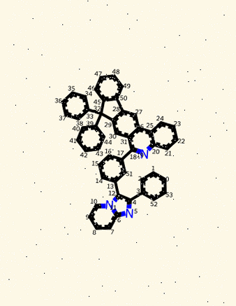 c1ccc(-c2nc3ccccn3c2-c2cccc(-c3nc4ccccc4c4cc5c(cc34)C(c3ccccc3)(c3ccccc3)c3ccccc3-5)c2)cc1